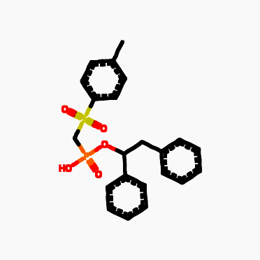 Cc1ccc(S(=O)(=O)CP(=O)(O)OC(Cc2ccccc2)c2ccccc2)cc1